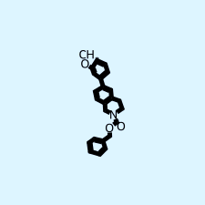 COc1cccc(-c2ccc3c(c2)CCN(C(=O)OCc2ccccc2)C3)c1